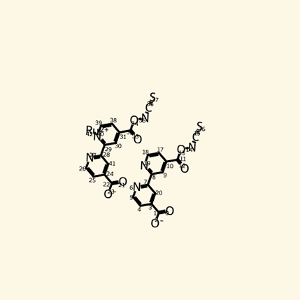 O=C([O-])c1ccnc(-c2cc(C(=O)ON=C=S)ccn2)c1.O=C([O-])c1ccnc(-c2cc(C(=O)ON=C=S)ccn2)c1.[Ru+2]